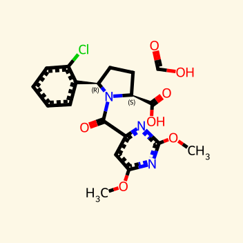 COc1cc(C(=O)N2[C@@H](c3ccccc3Cl)CC[C@H]2C(=O)O)nc(OC)n1.O=CO